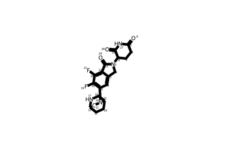 O=C1CCC(N2Cc3cc(N4CC5CCC4CN5)c(F)c(F)c3C2=O)C(=O)N1